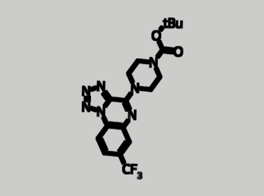 CC(C)(C)OC(=O)N1CCN(c2nc3cc(C(F)(F)F)ccc3n3nnnc23)CC1